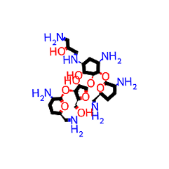 NCC(O)CN[C@@H]1C[C@H](N)[C@@H](O[C@H]2O[C@H](CN)CC[C@H]2N)[C@H](O[C@@H]2O[C@H](CO)[C@@H](O[C@H]3O[C@@H](CN)CC[C@H]3N)[C@H]2O)[C@H]1O